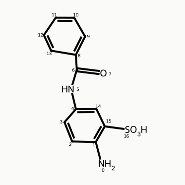 Nc1ccc(NC(=O)c2ccccc2)cc1S(=O)(=O)O